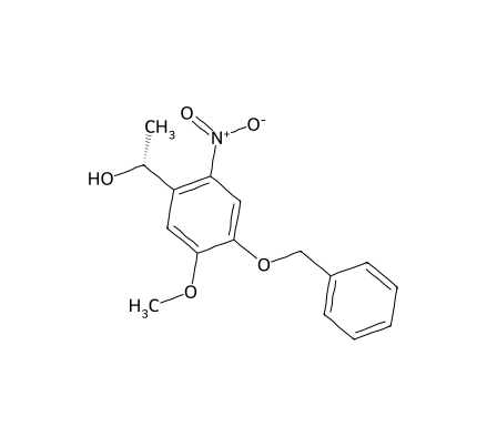 COc1cc([C@@H](C)O)c([N+](=O)[O-])cc1OCc1ccccc1